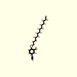 C#Cc1ccc(OCCCCCCCCCCCCCC)c(F)c1